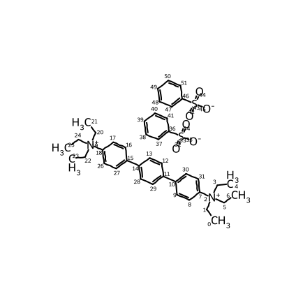 CC[N+](CC)(CC)c1ccc(-c2ccc(-c3ccc([N+](CC)(CC)CC)cc3)cc2)cc1.O=S(=O)([O-])c1ccccc1.O=S(=O)([O-])c1ccccc1